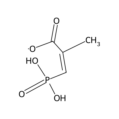 CC(=CP(=O)(O)O)C([O])=O